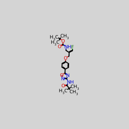 CC(C)(C)OC(=O)NC/C(=C\F)COc1ccc(-c2nc(NC(=O)C(C)(C)C)no2)cc1